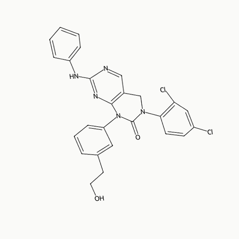 O=C1N(c2ccc(Cl)cc2Cl)Cc2cnc(Nc3ccccc3)nc2N1c1cccc(CCO)c1